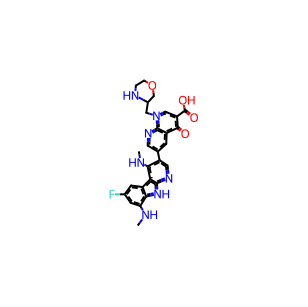 CNc1cc(F)cc2c1[nH]c1ncc(-c3cnc4c(c3)c(=O)c(C(=O)O)cn4CC3COCCN3)c(NC)c12